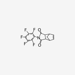 O=C1C2C3C=CC(C3)C2C(=O)N1c1c(F)c(F)c(F)c(F)c1F